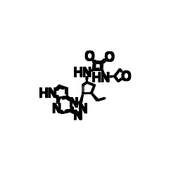 CC[C@@H]1C[C@H](Nc2c(NC3COC3)c(=O)c2=O)C[C@@H]1c1nnc2cnc3[nH]ccc3n12